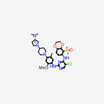 COc1cc(N2CCC(N3CC[C@H](N(C)C)C3)CC2)c(C)cc1Nc1ncc(Cl)c(Nc2ccc3c(c2P(C)(C)=O)OCCO3)n1